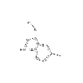 CC(C)Oc1n[nH]c2ccc(Br)cc12